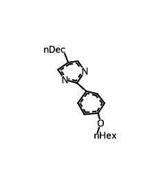 CCCCCCCCCCc1cnc(-c2ccc(OCCCCCC)cc2)nc1